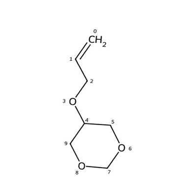 C=CCOC1COCOC1